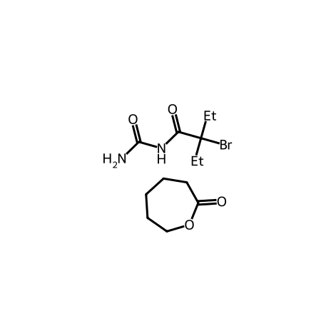 CCC(Br)(CC)C(=O)NC(N)=O.O=C1CCCCCO1